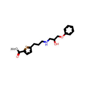 COC(=O)c1ccc(CCCNCC(O)COc2ccccc2)s1